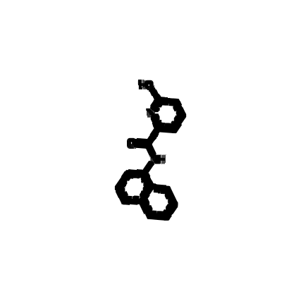 O=C(Nc1cccc2ccccc12)c1cccc(O)n1